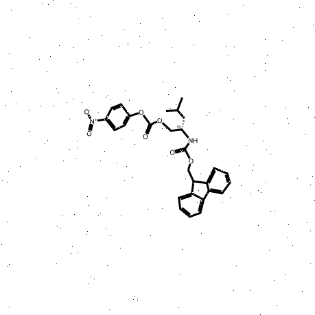 CC(C)C[C@@H](COC(=O)Oc1ccc([N+](=O)[O-])cc1)NC(=O)OCC1c2ccccc2-c2ccccc21